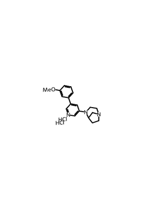 COc1cccc(-c2cncc(N3CCN4CCC3C4)c2)c1.Cl.Cl